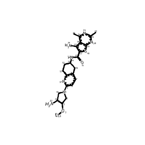 CCOC1CN(c2ccc3c(n2)CCC(NC(=O)c2sc4nc(C)nc(C)c4c2N)C3)CC1N